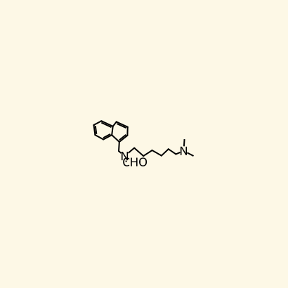 CN(C)CCCCCCN([C]=O)Cc1cccc2ccccc12